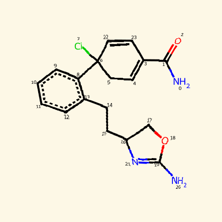 NC(=O)C1=CCC(Cl)(c2ccccc2CCC2COC(N)=N2)C=C1